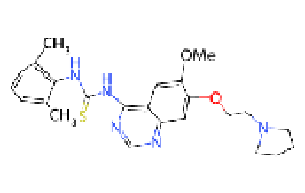 COc1cc2c(NC(=S)Nc3c(C)cccc3C)ncnc2cc1OCCN1CCCC1